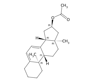 CC(=O)O[C@@H]1C[C@H]2C3=CC=C4CCCC[C@]4(C)[C@H]3CC[C@]2(C)C1